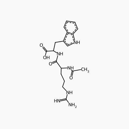 CC(=O)NC(CCCNC(=N)N)C(=O)NC(Cc1c[nH]c2ccccc12)C(=O)O